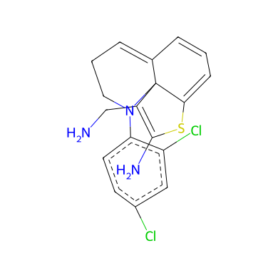 NCC1=C(N)SC2=CC=CC3=CCCN(c4ccc(Cl)cc4Cl)C321